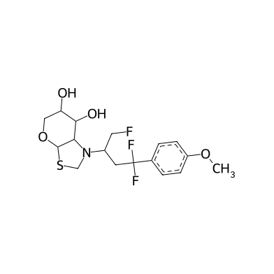 COc1ccc(C(F)(F)CC(CF)N2CSC3OCC(O)C(O)C32)cc1